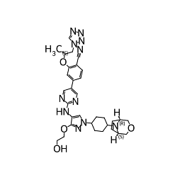 C[C@@H](Cn1cnnn1)Oc1cc(-c2cnc(Nc3cn(C4CCC(N5[C@@H]6CC[C@H]5COC6)CC4)nc3OCCO)nc2)ccc1C#N